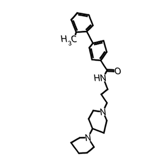 Cc1ccccc1-c1ccc(C(=O)NCCCN2CCC(N3CCCCC3)CC2)cc1